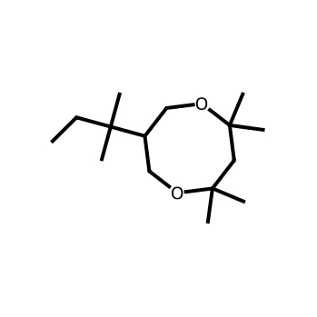 CCC(C)(C)C1COC(C)(C)CC(C)(C)OC1